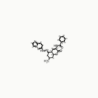 CC1CC(=NNc2ccc3nccn3n2)C2C=C(NC(=O)c3ccccc3)C(=O)OC2C1